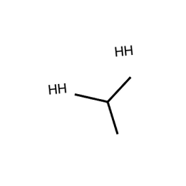 CC(C)C.[HH].[HH]